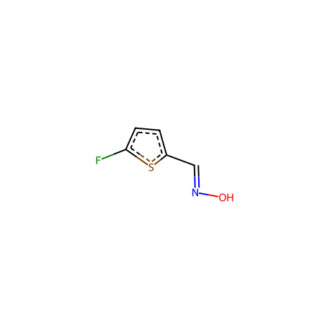 O/N=C/c1ccc(F)s1